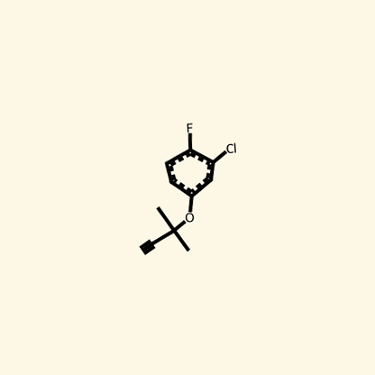 C#CC(C)(C)Oc1ccc(F)c(Cl)c1